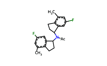 CC(=O)N(C1CCc2c(C)cc(F)cc21)C1CCc2c(C)cc(F)cc21